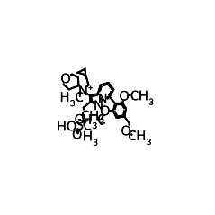 CCc1nn2c(-c3c(OC)cc(COC)cc3OC)cccc2c1[N+](C)(CC1CC1)C1CCOCC1.CS(=O)(=O)O